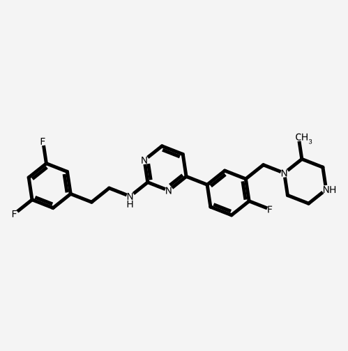 CC1CNCCN1Cc1cc(-c2ccnc(NCCc3cc(F)cc(F)c3)n2)ccc1F